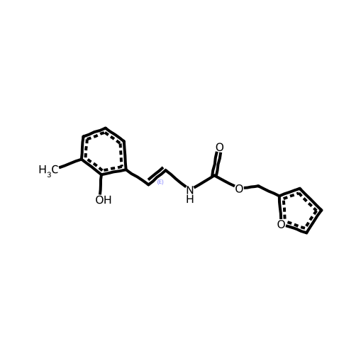 Cc1cccc(/C=C/NC(=O)OCc2ccco2)c1O